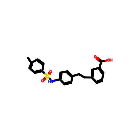 Cc1ccc(S(=O)(=O)Nc2ccc(CCc3cccc(C(=O)O)c3)cc2)cc1